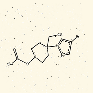 CC(C)(C)C(=O)ON1CCC(CC#N)(n2cc(Br)cn2)CC1